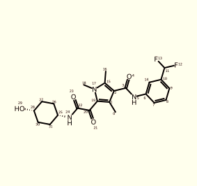 Cc1c(C(=O)Nc2cccc(C(F)F)c2)c(C)n(C)c1C(=O)C(=O)N[C@H]1CC[C@@H](O)CC1